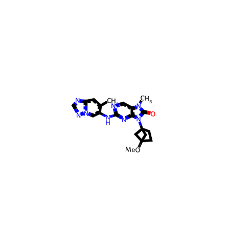 COC12CCC(n3c(=O)n(C)c4cnc(Nc5cn6ncnc6cc5C)nc43)(C1)C2